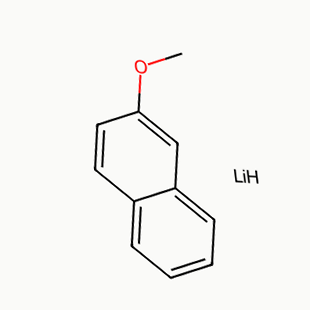 COc1ccc2ccccc2c1.[LiH]